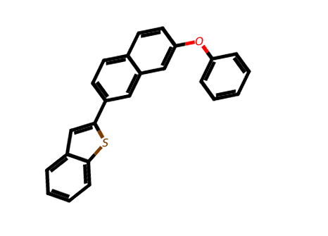 c1ccc(Oc2ccc3ccc(-c4cc5ccccc5s4)cc3c2)cc1